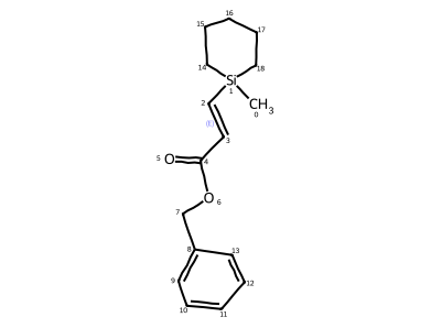 C[Si]1(/C=C/C(=O)OCc2ccccc2)CCCCC1